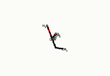 CCCCCCCC/C=C\CCCCCCCCNC(=O)C(CCCCCCCCCCCCCCC)NCCCN(C)C